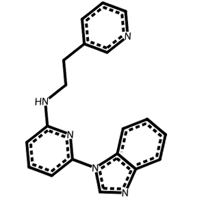 c1cncc(CCNc2cccc(-n3cnc4ccccc43)n2)c1